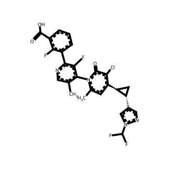 Cc1cnc(-c2cccc(C(=O)O)c2F)c(F)c1-n1c(C)cc([C@H]2C[C@@H]2c2cnn(C(F)F)c2)c(Cl)c1=O